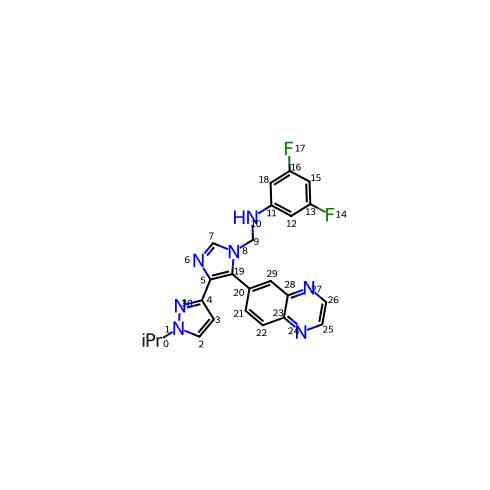 CC(C)n1ccc(-c2ncn(CNc3cc(F)cc(F)c3)c2-c2ccc3nccnc3c2)n1